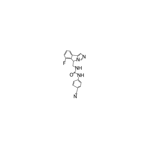 N#Cc1ccc(NC(=O)NCC2c3c(F)cccc3-c3cncn32)cc1